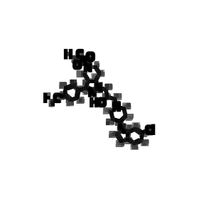 CS(=O)(=O)N1CCc2c(c(-c3ccc(C(F)(F)F)cc3)nn2CC(O)CN2CCC(n3ccc4ccc(Cl)cc43)CC2)C1